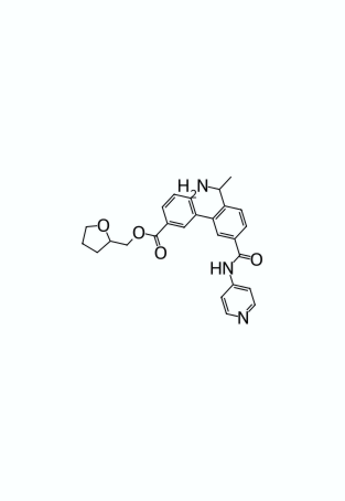 CC(N)c1ccc(C(=O)Nc2ccncc2)cc1-c1cccc(C(=O)OCC2CCCO2)c1